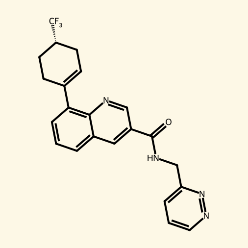 O=C(NCc1cccnn1)c1cnc2c(C3=CC[C@@H](C(F)(F)F)CC3)cccc2c1